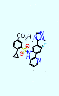 Cn1ncnc1-c1cc(NS(=O)(=O)c2cc(C(=O)O)ccc2C2CC2)c(-c2ccccn2)cc1F